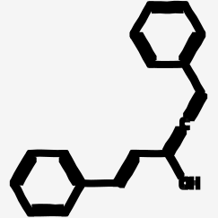 OC(=C=Cc1ccccc1)/C=C/c1ccccc1